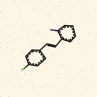 Fc1ccc(C=Cc2ccccc2I)cc1